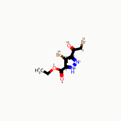 CCOC(=O)c1[nH]nc(C(=O)CBr)c1Br